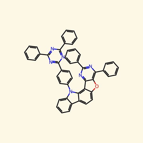 c1ccc(-c2nc(-c3ccccc3)nc(-c3ccc(-n4c5ccccc5c5ccc6oc7c(-c8ccccc8)nc(-c8ccccc8)nc7c6c54)cc3)n2)cc1